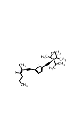 CCC/C(I)=C(/C)C#Cc1ccc(C#C[Si](C(C)C)(C(C)C)C(C)C)s1